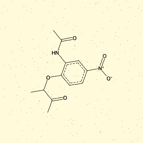 CC(=O)Nc1cc([N+](=O)[O-])ccc1OC(C)C(C)=O